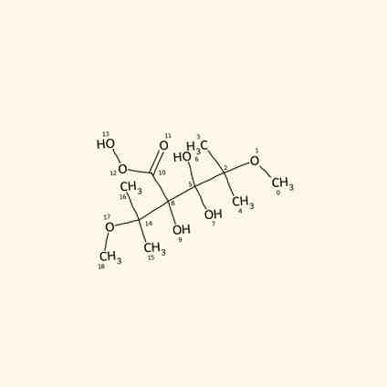 COC(C)(C)C(O)(O)C(O)(C(=O)OO)C(C)(C)OC